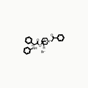 O=C(C[N+]12CCC(CC1)[C@@H](OC(=O)[C@H](Nc1ccccc1)c1ccccc1)C2)c1ccccc1.[Br-]